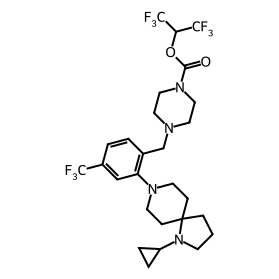 O=C(OC(C(F)(F)F)C(F)(F)F)N1CCN(Cc2ccc(C(F)(F)F)cc2N2CCC3(CCCN3C3CC3)CC2)CC1